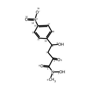 CN(O)C(=O)C(=O)CC(O)c1ccc([N+](=O)[O-])cc1